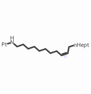 CCCCCCCC/C=C\CCCCCCCC[NH][Pt]